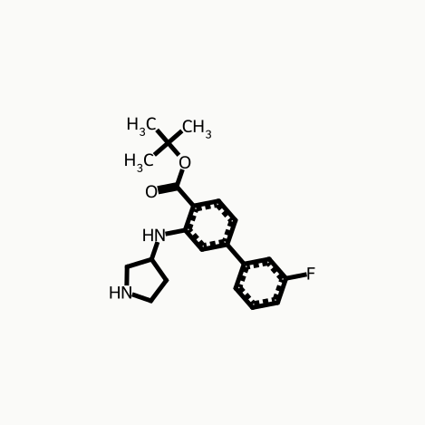 CC(C)(C)OC(=O)c1ccc(-c2cccc(F)c2)cc1NC1CCNC1